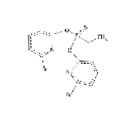 CCP(=S)(Oc1cccc(Br)n1)Oc1cccc(Br)n1